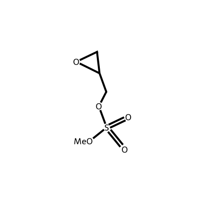 COS(=O)(=O)OCC1CO1